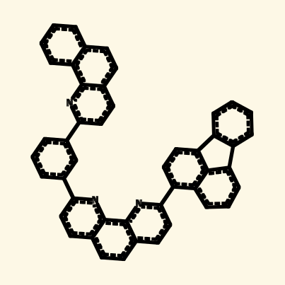 c1cc(-c2ccc3ccc4ccccc4c3n2)cc(-c2ccc3ccc4ccc(-c5ccc6c7c(cccc57)-c5ccccc5-6)nc4c3n2)c1